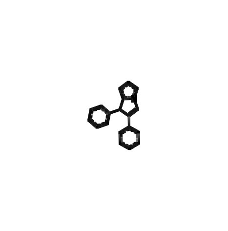 C1=C(c2ccccc2)C(c2ccccc2)c2cccn21